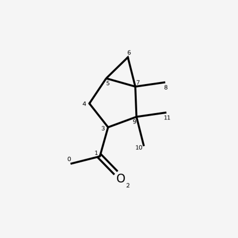 CC(=O)C1CC2CC2(C)C1(C)C